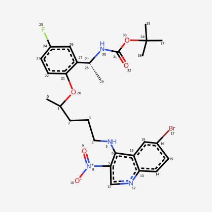 CC(CCCNc1c([N+](=O)[O-])cnc2ccc(Br)cc12)Oc1ccc(F)cc1[C@@H](C)NC(=O)OC(C)(C)C